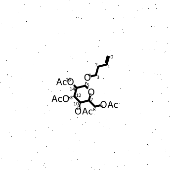 C=CCCO[C@@H]1OC(COC(C)=O)[C@@H](OC(C)=O)[C@H](OC(C)=O)C1OC(C)=O